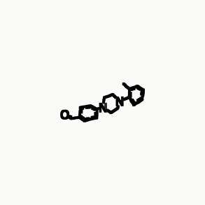 Cc1ccccc1N1CCN(c2ccc(C=O)cc2)CC1